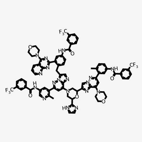 Cc1ccc(NC(=O)c2cccc(C(F)(F)F)c2)cc1-c1cc(N2CCOCC2)c2nc(C3CN(c4cc(-c5cc(NC(=O)c6cccc(C(F)(F)F)c6)cnc5C)nn5c(Cc6ccc(NC(=O)c7cccc(C(F)(F)F)c7)cc6-c6nc(N7CCOCC7)c7cccnc7n6)cnc45)CC(c4ncc[nH]4)O3)cn2n1